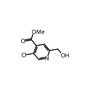 COC(=O)c1cc(CO)ncc1Cl